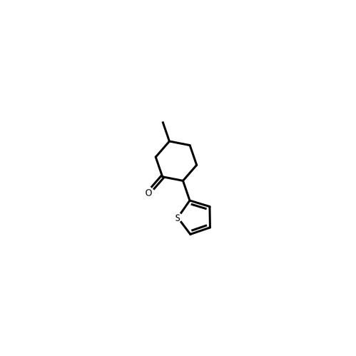 CC1CCC(c2cccs2)C(=O)C1